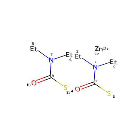 CCN(CC)C(=O)[S-].CCN(CC)C(=O)[S-].[Zn+2]